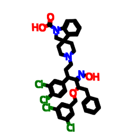 O=C(O)N1CC2(CCN(CCC(C(=NO)C(Cc3ccccc3)OCc3cc(Cl)cc(Cl)c3)c3ccc(Cl)c(Cl)c3)CC2)c2ccccc21